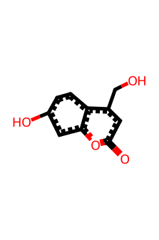 O=c1cc(CO)c2ccc(O)cc2o1